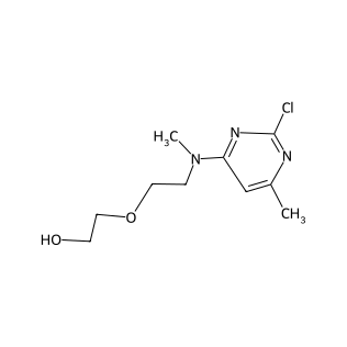 Cc1cc(N(C)CCOCCO)nc(Cl)n1